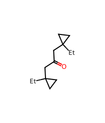 CCC1(CC(=O)CC2(CC)CC2)CC1